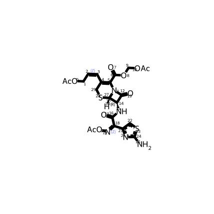 CC(=O)OC/C=C\C1=C(C(=O)OCOC(C)=O)N2C(=O)[C@@H](NC(=O)/C(=N\OC(C)=O)c3csc(N)n3)[C@@H]2SC1